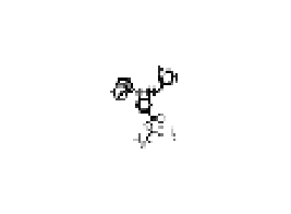 CC(C)OC(=O)c1ccc(NC23CC4CC(CC(C4)C2)C3)c(N=Cc2cncnc2)c1